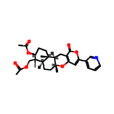 CC(=O)OCC1(C)[C@@H](OC(C)=O)CC[C@]2(C)[C@H]3Cc4c(cc(-c5cccnc5)oc4=O)O[C@]3(C)CC[C@@H]12